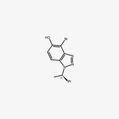 CC(C)[C@@H](C)n1nnc2c(Br)c(O)ccc21